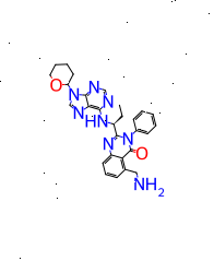 CC[C@H](Nc1ncnc2c1ncn2C1CCCCO1)c1nc2cccc(CN)c2c(=O)n1-c1ccccc1